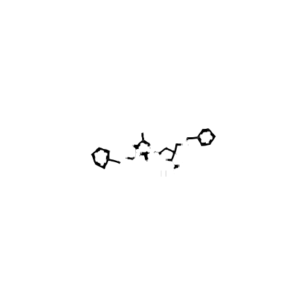 Cc1cn([C@H]2C[C@@](O)(COCc3ccccc3)[C@@H](C(=O)O)O2)c(=O)n(COCc2ccccc2)c1=O